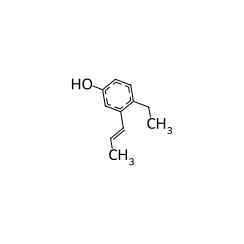 CC=Cc1cc(O)ccc1CC